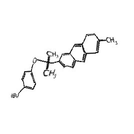 CCC(C)c1ccc(OC(C)(C)c2ccc3cc4cc(C)ccc4cc3c2)cc1